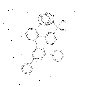 CC1(C)c2ccccc2-c2c(-c3c(-c4ccccc4)cccc3-c3cc(-c4ccccc4)nc(-c4ccccc4)n3)cccc21